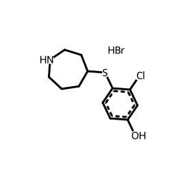 Br.Oc1ccc(SC2CCCNCC2)c(Cl)c1